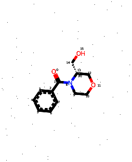 O=C(c1ccccc1)N1CCOC[C@H]1CO